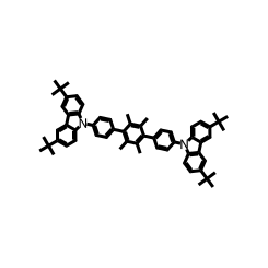 Cc1c(C)c(-c2ccc(-n3c4ccc(C(C)(C)C)cc4c4cc(C(C)(C)C)ccc43)cc2)c(C)c(C)c1-c1ccc(-n2c3ccc(C(C)(C)C)cc3c3cc(C(C)(C)C)ccc32)cc1